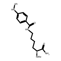 CCCNc1ccc(C(=O)NCCCC[C@H](NC)C(N)=O)cc1